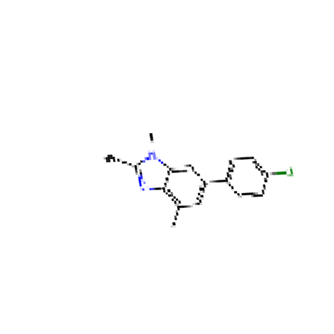 CCCc1nc2c(C)cc(-c3ccc(Cl)cc3)cc2n1C